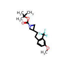 COc1ccc(CCC2CN(C(=O)OC(C)(C)C)C2)c(C(F)(F)F)c1